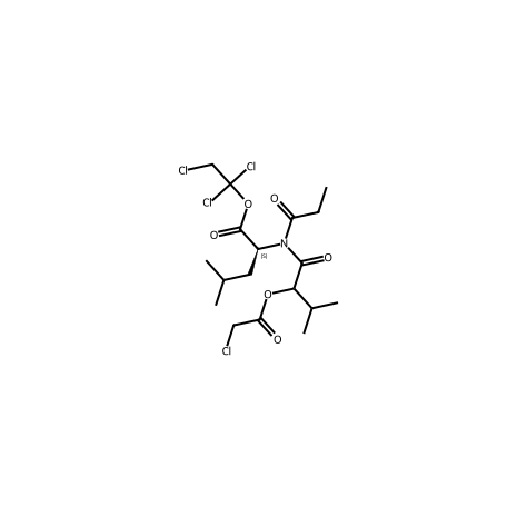 CCC(=O)N(C(=O)C(OC(=O)CCl)C(C)C)[C@@H](CC(C)C)C(=O)OC(Cl)(Cl)CCl